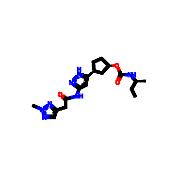 CC[C@H](C)NC(=O)O[C@@H]1CC[C@H](c2cc(NC(=O)Cc3cnn(C)n3)n[nH]2)C1